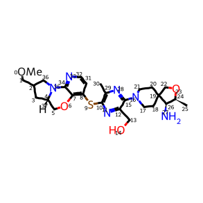 COCC1C[C@H]2COc3c(Sc4nc(CO)c(N5CCC6(CC5)CO[C@@H](C)[C@H]6N)nc4C)ccnc3N2C1